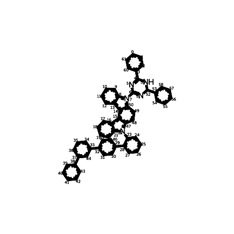 c1ccc(C2=NC(n3c4ccccc4c4c5c6ccccc6n(-c6ccccc6-c6ccc(-c7cccc(-c8ccccc8)c7)cc6)c5ccc43)=NC(c3ccccc3)N2)cc1